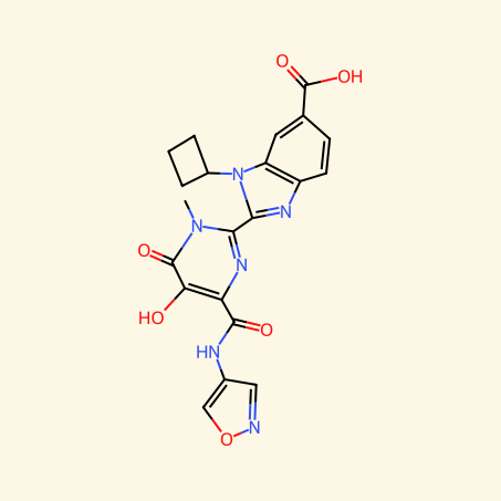 Cn1c(-c2nc3ccc(C(=O)O)cc3n2C2CCC2)nc(C(=O)Nc2cnoc2)c(O)c1=O